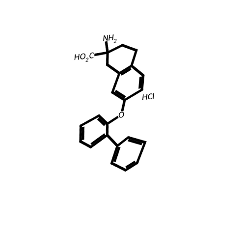 Cl.NC1(C(=O)O)CCc2ccc(Oc3ccccc3-c3ccccc3)cc2C1